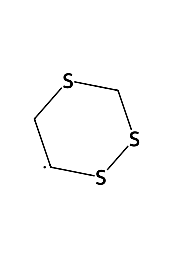 [CH]1CSCSS1